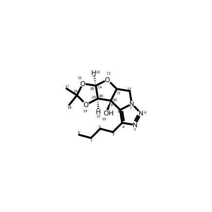 CCCCc1nnn2c1[C@@]1(O)C(C2)O[C@@H]2OC(C)(C)O[C@@H]21